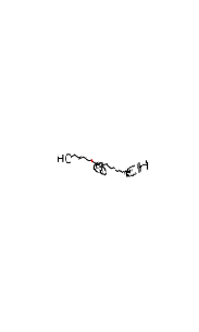 C#CCCCCCC(=O)C=C(Cl)CCCCCC#C